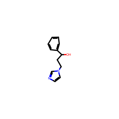 OC(CCn1ccnc1)c1ccccc1